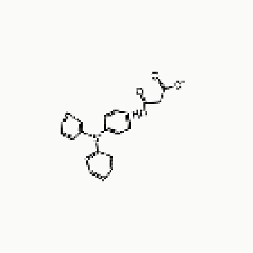 O=C([O-])CC(=O)O.c1ccc([S+](c2ccccc2)c2ccccc2)cc1